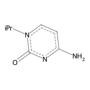 CC(C)n1ccc(N)nc1=O